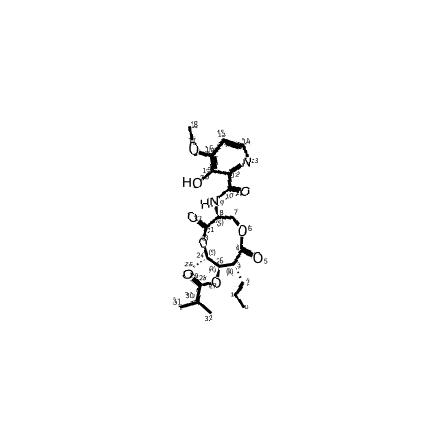 CCC[C@H]1C(=O)OC[C@H](NC(=O)c2nccc(OC)c2O)C(=O)O[C@@H](C)[C@@H]1OC(=O)C(C)C